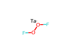 FOOF.[Ta]